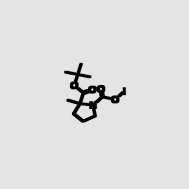 CC(C)(C)OC(=O)C1(C)CCCN1C(=O)OI